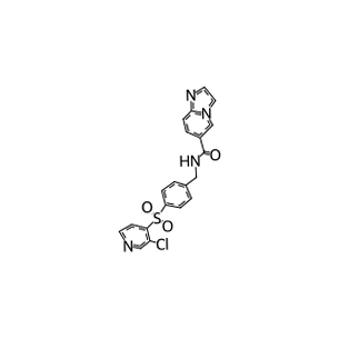 O=C(NCc1ccc(S(=O)(=O)c2ccncc2Cl)cc1)c1ccc2nccn2c1